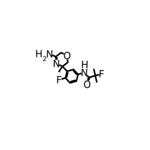 CC(C)(F)C(=O)Nc1ccc(F)c(C2(C)COCC(N)=N2)c1